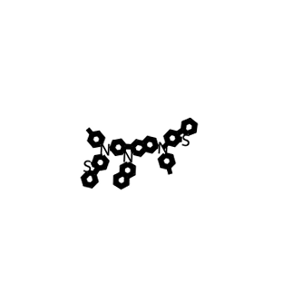 Cc1ccc(N(c2ccc3cc4c5ccc(N(c6ccc(C)cc6)c6ccc7c(c6)sc6ccccc67)cc5n(-c5ccc6ccccc6c5)c4cc3c2)c2ccc3c(c2)sc2ccccc23)cc1